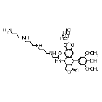 COc1cc(C2c3cc4c(cc3C(NC(=O)CNCCCNCCCNCCCN)C3COC(=O)C23)OCO4)cc(OC)c1O.Cl.Cl.Cl.Cl